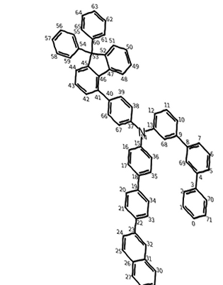 c1ccc(-c2cccc(-c3cccc(N(c4ccc(-c5ccc(-c6ccc7ccccc7c6)cc5)cc4)c4ccc(-c5cccc6c5-c5ccccc5C6(c5ccccc5)c5ccccc5)cc4)c3)c2)cc1